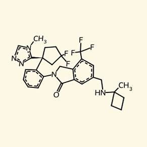 Cn1cnnc1[C@@]1(c2ccccc2N2Cc3c(cc(CNC4(C)CCC4)cc3C(F)(F)F)C2=O)CCC(F)(F)C1